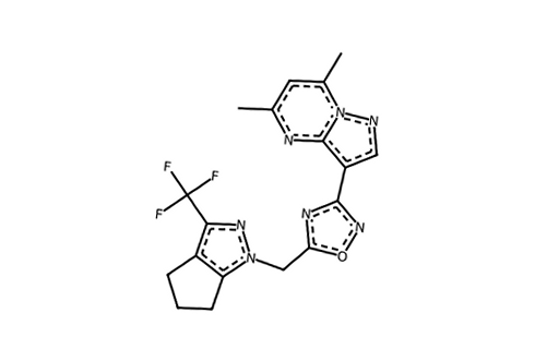 Cc1cc(C)n2ncc(-c3noc(Cn4nc(C(F)(F)F)c5c4CCC5)n3)c2n1